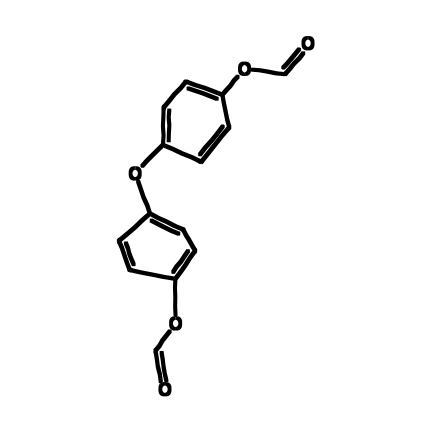 O=COc1ccc(Oc2ccc(OC=O)cc2)cc1